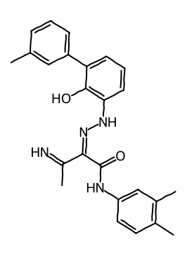 CC(=N)/C(=N/Nc1cccc(-c2cccc(C)c2)c1O)C(=O)Nc1ccc(C)c(C)c1